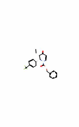 CC[C@@H]1C(=O)C=CN(C(=O)OCc2ccccc2)[C@H]1C1C=CC(C(F)(F)F)=CC1